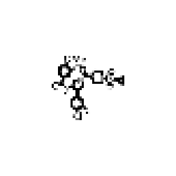 COc1ccc(C(=O)N(C)C2CN(C(=O)C3CCN(S(=O)(=O)C4CC4)CC3)CC2c2ccc(Cl)c(Cl)c2)cc1C(F)(F)F